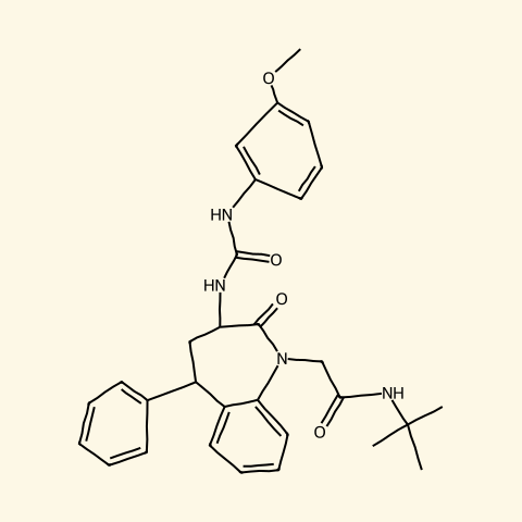 COc1cccc(NC(=O)NC2CC(c3ccccc3)c3ccccc3N(CC(=O)NC(C)(C)C)C2=O)c1